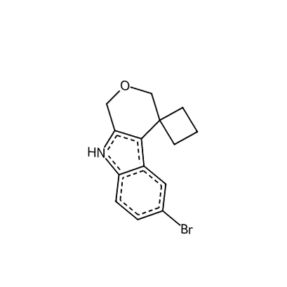 Brc1ccc2[nH]c3c(c2c1)C1(CCC1)COC3